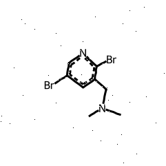 CN(C)Cc1cc(Br)cnc1Br